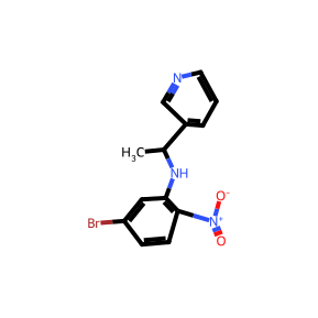 CC(Nc1cc(Br)ccc1[N+](=O)[O-])c1cccnc1